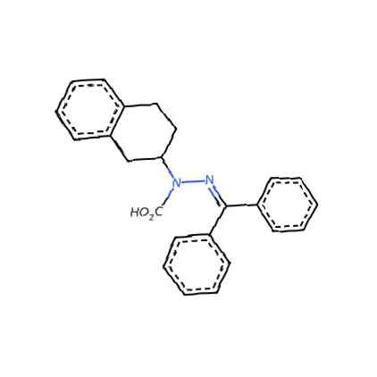 O=C(O)N(N=C(c1ccccc1)c1ccccc1)C1CCc2ccccc2C1